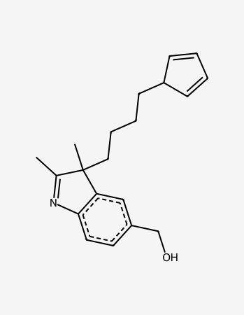 CC1=Nc2ccc(CO)cc2C1(C)CCCCC1C=CC=C1